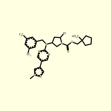 CCC1CC(N(Cc2cc(C(F)(F)F)cc(C(F)(F)F)c2)c2ncc(-c3cnn(C)c3)cn2)CN1C(=O)OCC1(C(=O)O)CCCC1